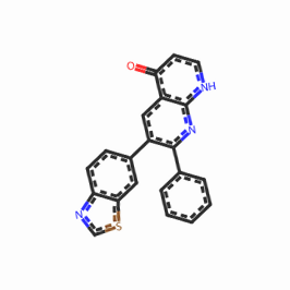 O=c1cc[nH]c2nc(-c3ccccc3)c(-c3ccc4ncsc4c3)cc12